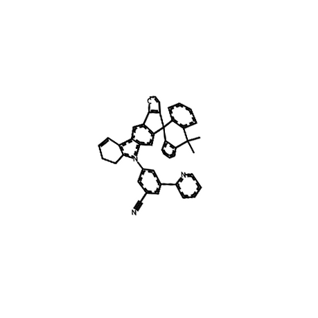 CC1(C)c2ccccc2C2(C3=C(CCC=C3)c3cc4c5c(n(-c6cc(C#N)cc(-c7ccccn7)c6)c4cc32)CCC=C5)c2ccccc21